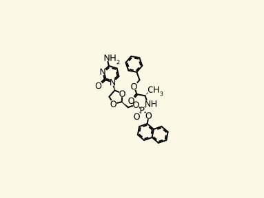 C[C@H](NP(=O)(OC[C@H]1OC[C@@H](n2ccc(N)nc2=O)O1)Oc1cccc2ccccc12)C(=O)OCc1ccccc1